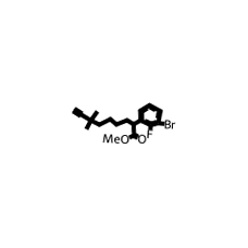 C#CC(C)(C)CCCCC(C(=O)OC)c1cccc(Br)c1F